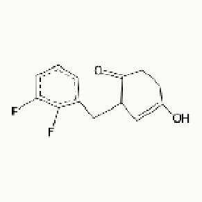 O=C1CCC(O)=CC1Cc1cccc(F)c1F